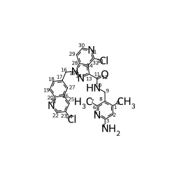 Cc1cc(N)nc(C)c1CNC(=O)c1nn(Cc2ccc3ncc(Cl)cc3c2)c2ccnc(Cl)c12